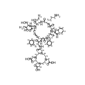 CC(O)[C@@H]1NC(=O)[C@H](CCCCN)NC(=O)[C@@H](CC2=CNC3C=CC=CC23)NC(=O)[C@H](Cc2ccccc2)NC(=O)[C@@H](NC(=O)[C@@H](Cc2ccccc2)NC(=O)CN2CCN(CC(=O)O)CCN(CC(=O)O)CCN(CC(=O)O)CC2)CSSC[C@@H](C(=O)N[C@H](CO)C(C)O)NC1=O